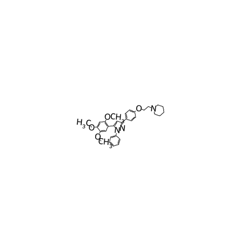 COc1cc(OC)c(-c2cc(-c3ccc(OCCN4CCCCC4)cc3)nn2-c2ccccc2)cc1OC